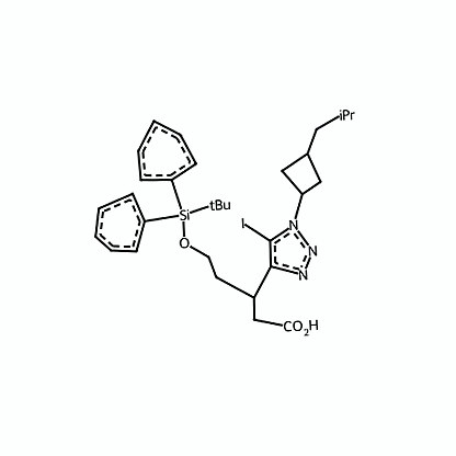 CC(C)CC1CC(n2nnc(C(CCO[Si](c3ccccc3)(c3ccccc3)C(C)(C)C)CC(=O)O)c2I)C1